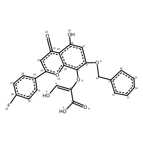 O=C(O)C(=CO)Oc1c(OCc2ccccc2)cc(O)c2c(=O)cc(-c3ccc(F)cc3)oc12